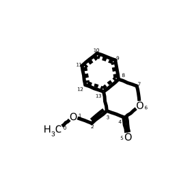 CO/C=C1/C(=O)OCc2ccccc21